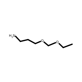 CCOCOCCC[SiH3]